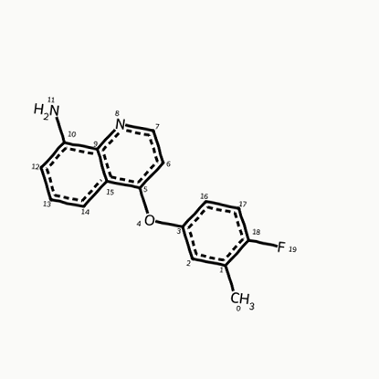 Cc1cc(Oc2ccnc3c(N)cccc23)ccc1F